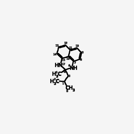 CC(C)CC1(C)Nc2cccc3cccc(c23)N1